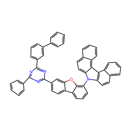 c1ccc(-c2cccc(-c3nc(-c4ccccc4)nc(-c4ccc5c(c4)oc4c(-n6c7ccc8ccccc8c7c7c8ccccc8ccc76)cccc45)n3)c2)cc1